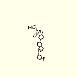 O=C(NCCO)c1cccc(-c2ccc3c(ccn3Cc3cccc(F)c3)c2)c1